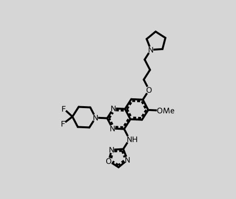 COc1cc2c(Nc3ncon3)nc(N3CCC(F)(F)CC3)nc2cc1OCCCN1CCCC1